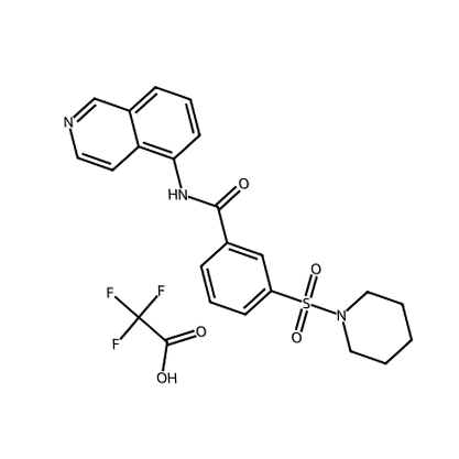 O=C(Nc1cccc2cnccc12)c1cccc(S(=O)(=O)N2CCCCC2)c1.O=C(O)C(F)(F)F